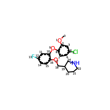 COc1cc(Cl)ccc1Oc1cc(F)ccc1OCC1CCCNC1